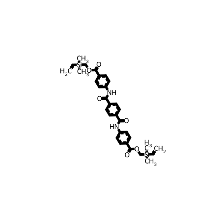 C=C[Si](C)(C)COC(=O)c1ccc(NC(=O)c2ccc(C(=O)Nc3ccc(C(=O)OC[Si](C)(C)C=C)cc3)cc2)cc1